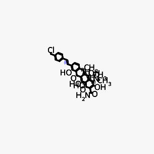 C[C@H]1c2ccc(/C=C/c3ccc(CCl)cc3)c(O)c2C(=O)C2=C(O)[C@]3(O)C(=O)C(C(N)=O)=C(O)[C@@H](N(C)C)[C@@H]3[C@H](O)[C@H]21